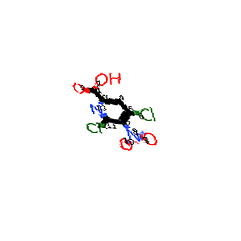 O=C(O)c1cc(Cl)c([N+](=O)[O-])c(Cl)n1